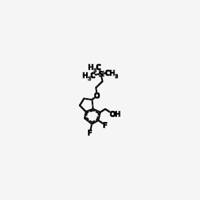 C[Si](C)(C)CCOC1CCc2cc(F)c(F)c(CO)c21